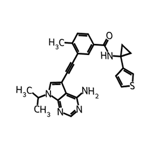 Cc1ccc(C(=O)NC2(c3ccsc3)CC2)cc1C#Cc1cn(C(C)C)c2ncnc(N)c12